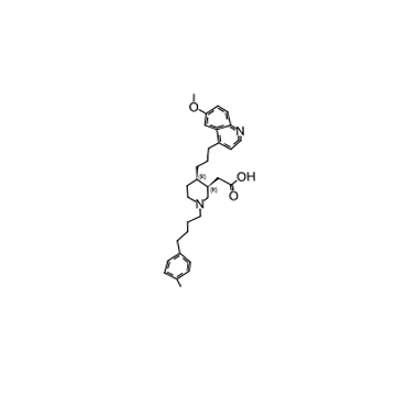 COc1ccc2nccc(CCC[C@@H]3CCN(CCCCc4ccc(C)cc4)C[C@@H]3CC(=O)O)c2c1